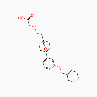 O=C(O)COCCC12CCC(c3cccc(OCC4CCCCC4)c3)(CC1)OC2